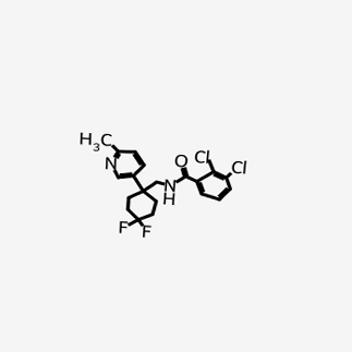 Cc1ccc(C2(CNC(=O)c3cccc(Cl)c3Cl)CCC(F)(F)CC2)cn1